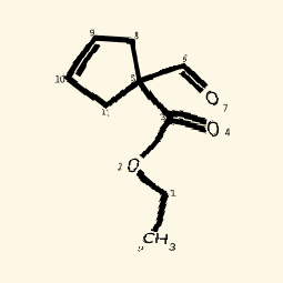 CCOC(=O)C1(C=O)CC=CC1